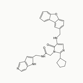 O=C(Cn1c(C2CCCC2)ncc(NCc2ccc3oc4ccccc4c3c2)c1=O)NCc1cc2cnccc2[nH]1